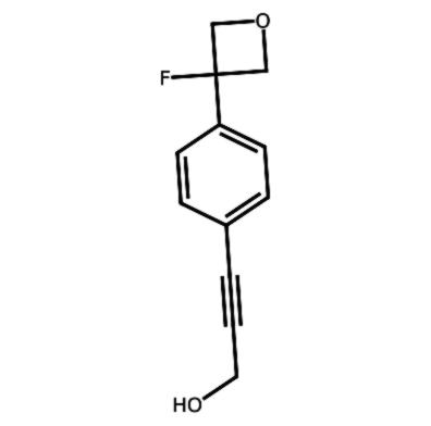 OCC#Cc1ccc(C2(F)COC2)cc1